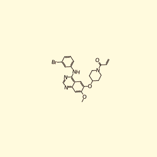 C=CC(=O)N1CCC(Oc2cc3c(Nc4cccc(Br)c4)ncnc3cc2OC)CC1